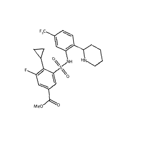 COC(=O)c1cc(F)c(C2CC2)c(S(=O)(=O)Nc2cc(C(F)(F)F)ccc2C2CCCCN2)c1